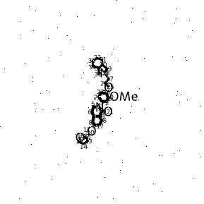 COc1cc(-n2ccc3cc(OC[C@@H]4CCCO4)ccc3c2=O)ccc1OCCN1CC2CCCCC2C1